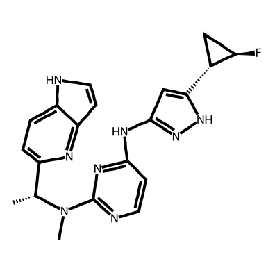 C[C@H](c1ccc2[nH]ccc2n1)N(C)c1nccc(Nc2cc([C@@H]3C[C@H]3F)[nH]n2)n1